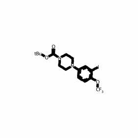 CC(C)(C)OC(=O)N1CCN(c2ccc(OC(F)(F)F)c(I)c2)CC1